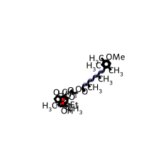 CC[C@]1(C)C[C@@H](OC(=O)COC(=O)/C=C(C)/C=C/C=C(C)/C=C/c2c(C)cc(OC)c(C)c2C)C2(C)CC[C@H]3C([C@H](C)C34CCC(=O)[C@@H]24)[C@@H]1O